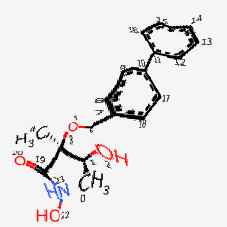 C[C@H](O)[C@](C)(OCc1ccc(-c2ccccc2)cc1)C(=O)NO